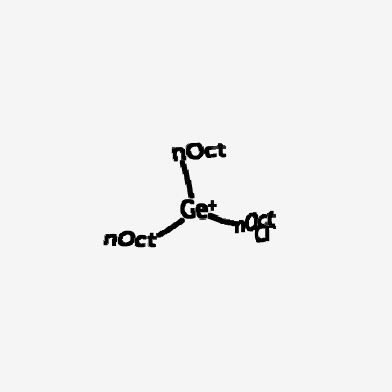 CCCCCCC[CH2][Ge+]([CH2]CCCCCCC)[CH2]CCCCCCC.[Cl-]